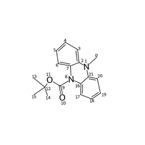 CN1c2ccccc2N(C(=O)OC(C)(C)C)c2ccccc21